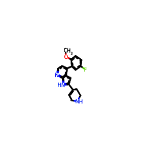 COc1ccc(F)cc1-c1ccnc2[nH]c(C3=C[CH]NCC3)cc12